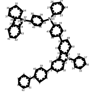 c1ccc(-c2ccc(-c3ccc4c(c3)c3cc(-c5ccc(N(c6ccccc6)c6ccc(-n7c8ccccc8c8ccccc87)cc6)cc5)ccc3n4-c3ccccc3)cc2)cc1